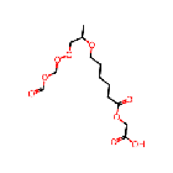 CC(COOCOC=O)OCCCCCC(=O)OCC(=O)O